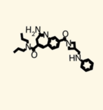 CCCN(CCC)C(=O)C1=Cc2ccc(C(=O)N3CC(CNc4ccccc4)C3)cc2N=C(N)C1